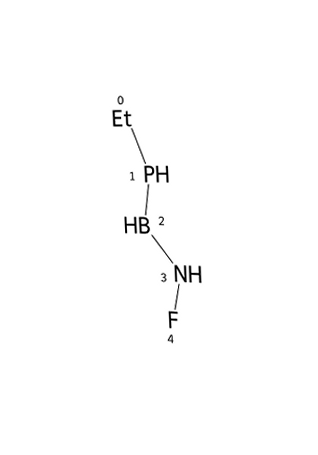 CCPBNF